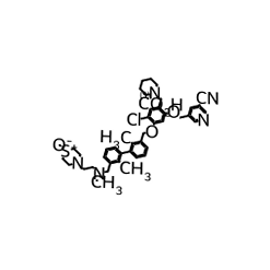 Cc1c(COc2cc(OCc3cncc(C#N)c3)c(CN3CCCC[C@H]3C(=O)O)cc2Cl)cccc1-c1cccc(CN(C)CCN2CC[S+]([O-])CC2)c1C